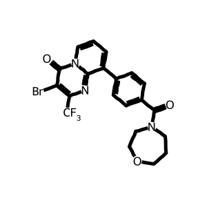 O=C(c1ccc(-c2cccn3c(=O)c(Br)c(C(F)(F)F)nc23)cc1)N1CCCOCC1